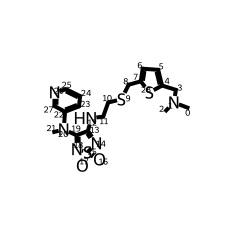 CN(C)Cc1ccc(CSCCNC2=NS(=O)(=O)N=C2N(C)c2cccnc2)s1